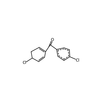 O=C(C1=CCC(Cl)C=C1)c1ccc(Cl)cc1